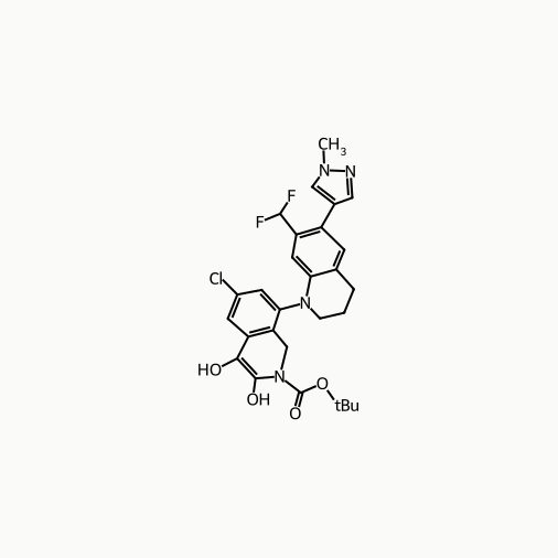 Cn1cc(-c2cc3c(cc2C(F)F)N(c2cc(Cl)cc4c2CN(C(=O)OC(C)(C)C)C(O)=C4O)CCC3)cn1